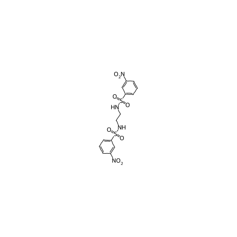 O=[N+]([O-])c1cccc(S(=O)(=O)NCCNS(=O)(=O)c2cccc([N+](=O)[O-])c2)c1